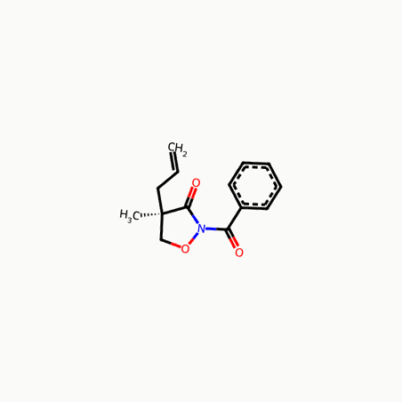 C=CC[C@]1(C)CON(C(=O)c2ccccc2)C1=O